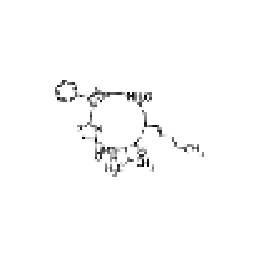 CCC/C=C/[C@@H]1CC(=O)NCc2nc(c(-c3ccccc3)s2)C2=N[C@@](C)(CS2)C(=O)NC(C(C)C)C(=O)C1